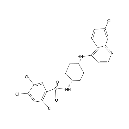 O=S(=O)(N[C@H]1CC[C@@H](Nc2ccnc3cc(Cl)ccc23)CC1)c1cc(Cl)c(Cl)cc1Cl